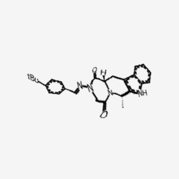 C[C@H]1c2[nH]c3ccccc3c2C[C@H]2C(=O)N(/N=C/c3ccc(C(C)(C)C)cc3)CC(=O)N21